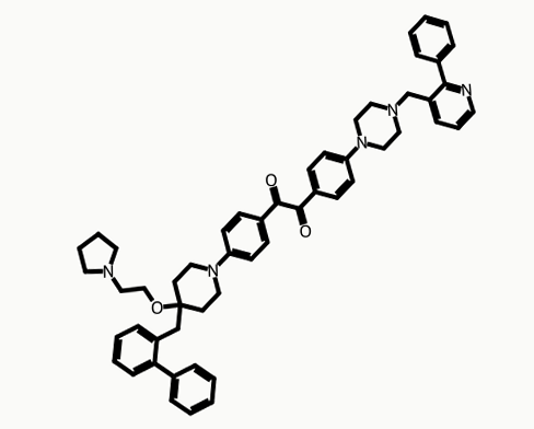 O=C(C(=O)c1ccc(N2CCC(Cc3ccccc3-c3ccccc3)(OCCN3CCCC3)CC2)cc1)c1ccc(N2CCN(Cc3cccnc3-c3ccccc3)CC2)cc1